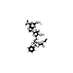 CCOC(=O)[C@@H](C)NP(=O)(OC[C@H]1O[C@@H](n2cnc3c(N(C)C)nc(N)nc32)[C@](C)(F)[C@@H]1O)Oc1ccccc1